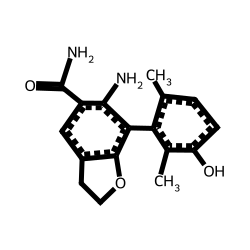 Cc1ccc(O)c(C)c1-c1c(N)c(C(N)=O)cc2c1OCC2